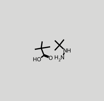 CC(C)(C)C(=O)O.CC(C)(C)NN